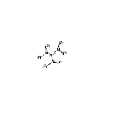 CC(C)[N](C(C)C)[In-2]([N](C(C)C)C(C)C)[N](C(C)C)C(C)C